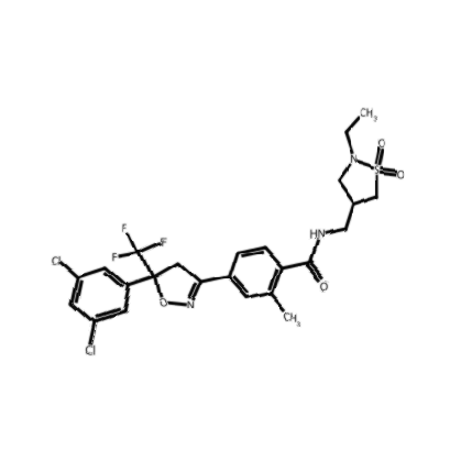 CCN1CC(CNC(=O)c2ccc(C3=NOC(c4cc(Cl)cc(Cl)c4)(C(F)(F)F)C3)cc2C)CS1(=O)=O